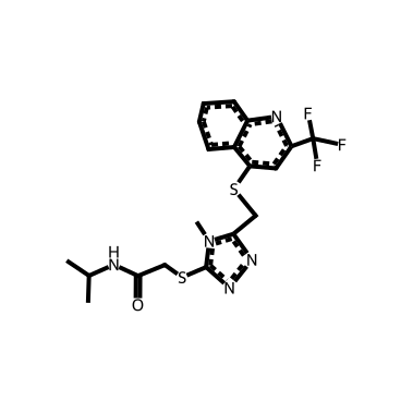 CC(C)NC(=O)CSc1nnc(CSc2cc(C(F)(F)F)nc3ccccc23)n1C